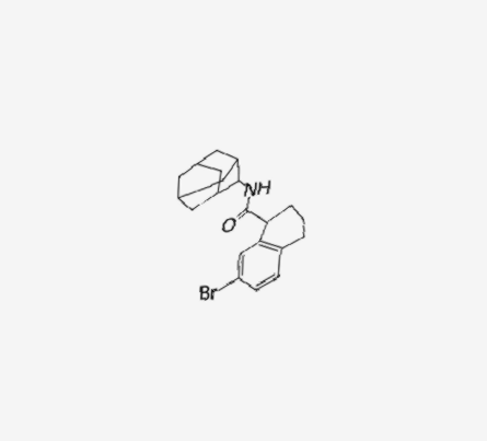 O=C(NC1C2CC3CC(C2)CC1C3)C1CCCc2ccc(Br)cc21